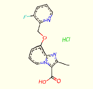 Cc1nc2c(OCc3ncccc3F)cccn2c1C(=O)O.Cl